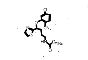 CC(C)(C)OC(=O)NCCCC(Oc1cc(Cl)ccc1C#N)c1nccs1